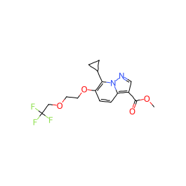 COC(=O)c1cnn2c(C3CC3)c(OCCOCC(F)(F)F)ccc12